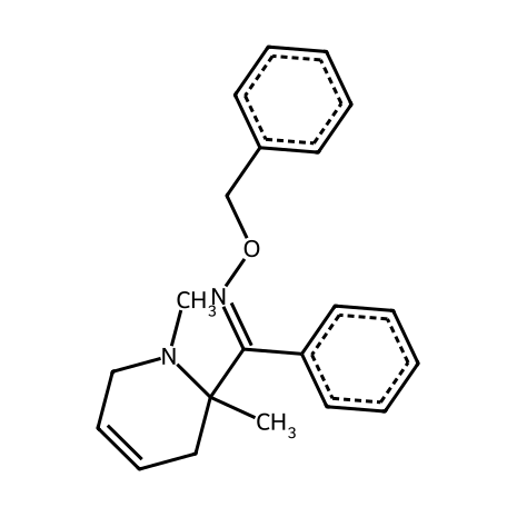 CN1CC=CCC1(C)/C(=N/OCc1ccccc1)c1ccccc1